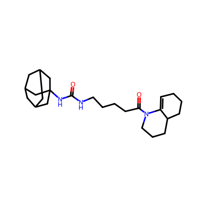 O=C(NCCCCC(=O)N1CCCC2CCCC=C21)NC12CC3CC(CC(C3)C1)C2